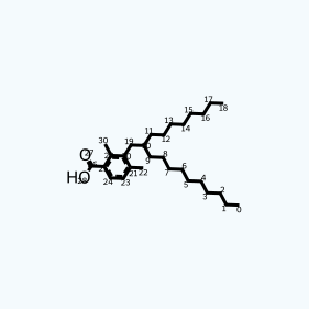 CCCCCCCCCCC(CCCCCCCC)Cc1c(C)ccc(C(=O)O)c1C